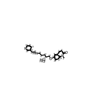 Cl.Cl.Cn1c(=O)ccc2cc(OCCCCCNCCc3cccnc3)ccc21